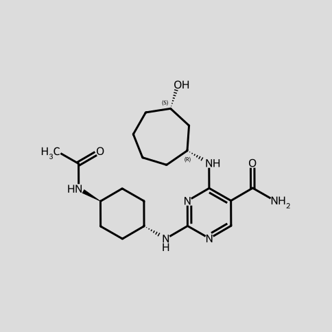 CC(=O)N[C@H]1CC[C@H](Nc2ncc(C(N)=O)c(N[C@@H]3CCCC[C@H](O)C3)n2)CC1